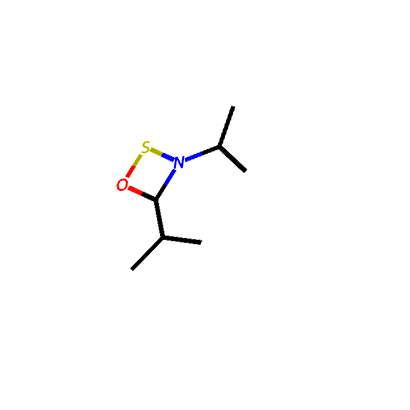 CC(C)C1OSN1C(C)C